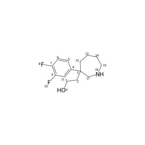 OCCC1(c2ccc(F)c(F)c2)CCCCNC1